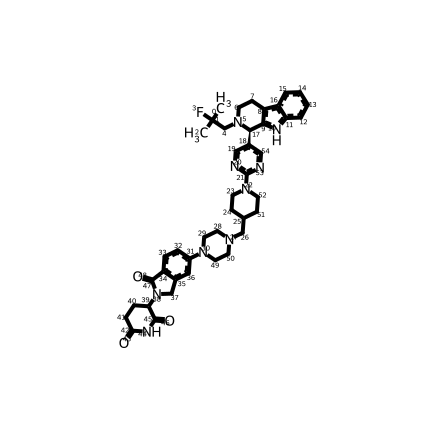 CC(C)(F)CN1CCc2c([nH]c3ccccc23)[C@H]1c1cnc(N2CCC(CN3CCN(c4ccc5c(c4)CN(C4CCC(=O)NC4=O)C5=O)CC3)CC2)nc1